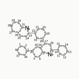 c1ccc(-c2ccc3nc(-c4ccccc4)cc(-c4cccc(-c5ccc6ccccc6n5)c4)c3c2)cc1